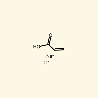 C=CC(=O)O.[Cl-].[Na+]